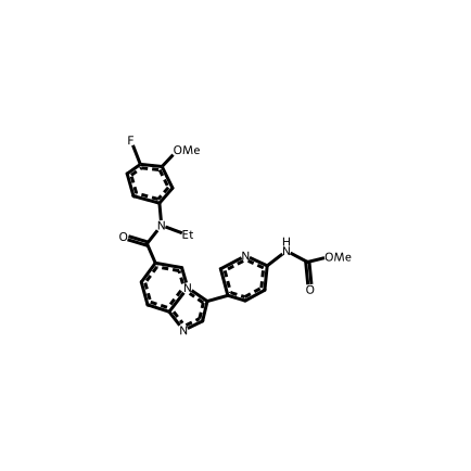 CCN(C(=O)c1ccc2ncc(-c3ccc(NC(=O)OC)nc3)n2c1)c1ccc(F)c(OC)c1